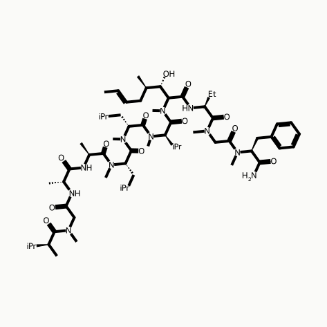 C/C=C/C[C@@H](C)[C@H](O)C(C(=O)N[C@@H](CC)C(=O)N(C)CC(=O)N(C)[C@@H](Cc1ccccc1)C(N)=O)N(C)C(=O)[C@@H](C(C)C)N(C)C(=O)[C@@H](CC(C)C)N(C)C(=O)[C@H](CC(C)C)N(C)C(=O)[C@H](C)NC(=O)[C@@H](C)NC(=O)CN(C)C(=O)[C@@H](C)C(C)C